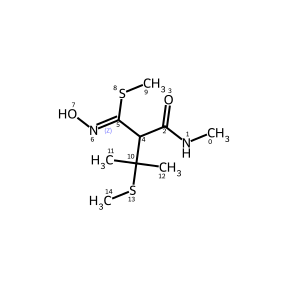 CNC(=O)C(/C(=N/O)SC)C(C)(C)SC